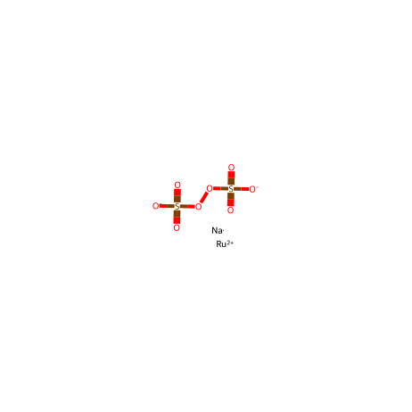 O=S(=O)([O-])OOS(=O)(=O)[O-].[Na].[Ru+2]